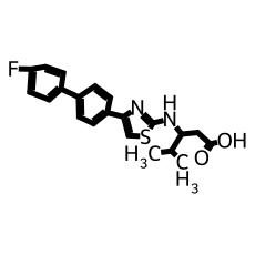 CC(C)C(CC(=O)O)Nc1nc(-c2ccc(-c3ccc(F)cc3)cc2)cs1